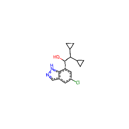 OC(c1cc(Cl)cc2cn[nH]c12)C(C1CC1)C1CC1